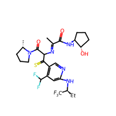 CC[C@H](Nc1cc(C(F)F)c(C(=S)C(/N=C(\C)C(=O)N[C@H]2CCC[C@@H]2O)C(=O)N2CCC[C@@H]2C)cn1)C(F)(F)F